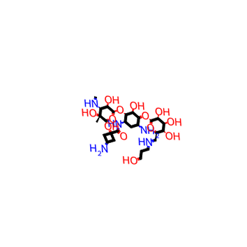 CN[C@@H]1[C@@H](O)[C@@H](O[C@H]2[C@H](NC(=O)C3(O)CC(N)C3)C[C@H](N)C(O[C@H]3O[C@H](CNCCCO)[C@@H](O)[C@H](O)[C@H]3O)[C@@H]2O)OC[C@]1(C)O